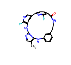 Cc1cnc2nc1Nc1cccc(c1)CCNC(=O)c1ccc(nc1F)-c1cnc(F)c(c1)N2